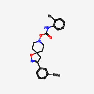 CCc1ccccc1NC(=O)ON1CCC2(CC1)CC(c1cccc(OC)c1)=NO2